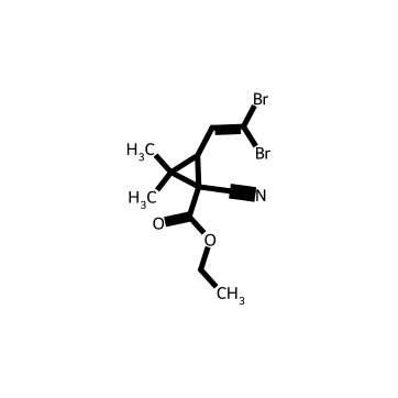 CCOC(=O)C1(C#N)C(C=C(Br)Br)C1(C)C